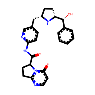 O=C(Nc1ccc(C[C@@H]2CC[C@H]([C@H](O)c3ccccc3)N2)cn1)C1CCc2nccc(=O)n21